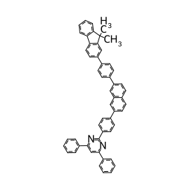 CC1(C)c2ccccc2-c2ccc(-c3ccc(-c4ccc5ccc(-c6ccc(-c7nc(-c8ccccc8)cc(-c8ccccc8)n7)cc6)cc5c4)cc3)cc21